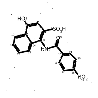 O=C(Nc1c(S(=O)(=O)O)cc(O)c2ccccc12)c1ccc([N+](=O)[O-])cc1